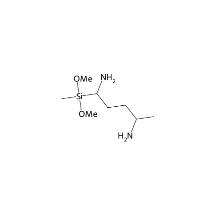 CO[Si](C)(OC)C(N)CCC(C)N